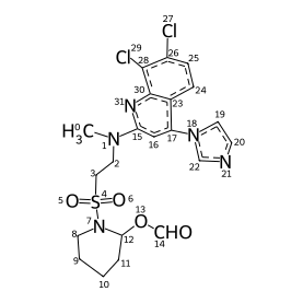 CN(CCS(=O)(=O)N1CCCCC1OC=O)c1cc(-n2ccnc2)c2ccc(Cl)c(Cl)c2n1